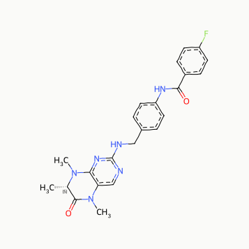 C[C@H]1C(=O)N(C)c2cnc(NCc3ccc(NC(=O)c4ccc(F)cc4)cc3)nc2N1C